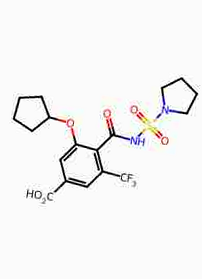 O=C(O)c1cc(OC2CCCC2)c(C(=O)NS(=O)(=O)N2CCCC2)c(C(F)(F)F)c1